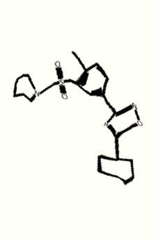 Cc1ccc(-c2noc(C3CCCCC3)n2)cc1S(=O)(=O)N1CCCC1